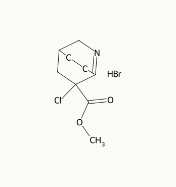 Br.COC(=O)C1(Cl)CC2CCC1=NC2